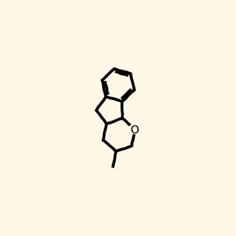 CC1COC2c3ccccc3CC2C1